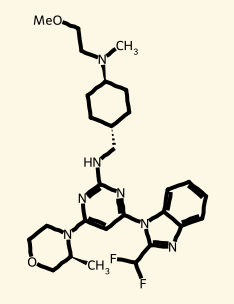 COCCN(C)[C@H]1CC[C@H](CNc2nc(N3CCOC[C@@H]3C)cc(-n3c(C(F)F)nc4ccccc43)n2)CC1